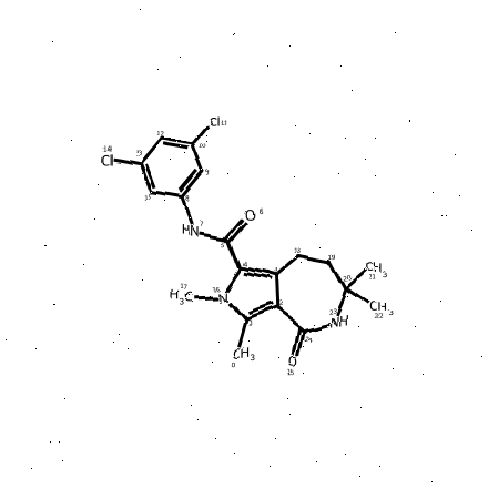 Cc1c2c(c(C(=O)Nc3cc(Cl)cc(Cl)c3)n1C)CCC(C)(C)NC2=O